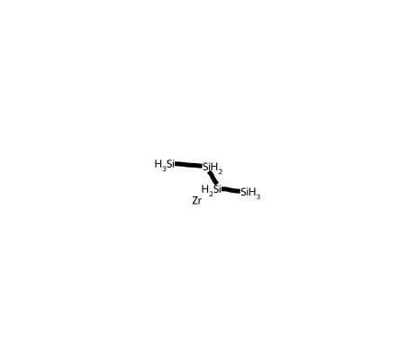 [SiH3][SiH2][SiH2][SiH3].[Zr]